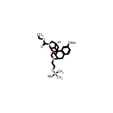 COc1ccc2c(c1)C13CCN(CCO[Si](C)(C)C(C)(C)C)C(C2)C12CCC1C3[C@@H](CN1C(=O)OCC(Cl)(Cl)Cl)C2